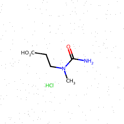 CN(CCC(=O)O)C(N)=O.Cl